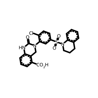 O=C(O)c1cccc2c1CN(c1cc(S(=O)(=O)N3CCCc4ccccc43)ccc1Cl)C(=O)N2